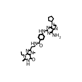 C=C1NC(=O)c2c(nc(CCNC(=O)c3ccc(Nc4nc(N)c5ncn(C6CCCC6)c5n4)cc3)n2C)N1CC